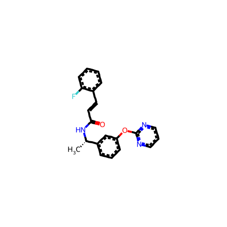 C[C@H](NC(=O)C=Cc1ccccc1F)c1cccc(Oc2ncccn2)c1